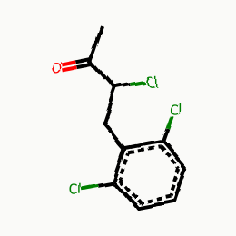 CC(=O)C(Cl)Cc1c(Cl)cccc1Cl